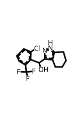 OC(c1n[nH]c2c1CCCC2)c1c(Cl)cccc1C(F)(F)F